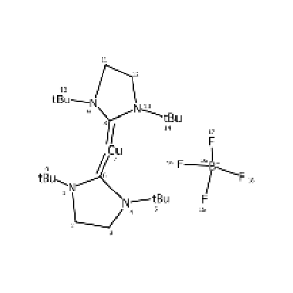 CC(C)(C)N1CCN(C(C)(C)C)[C]1=[Cu]=[C]1N(C(C)(C)C)CCN1C(C)(C)C.F[B-](F)(F)F